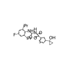 CC(C)c1cc(F)cc(C(C)C)c1NC(=O)NS(=O)(=O)c1cc(C2(O)CC2)cs1